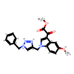 COC(=O)C(=O)c1cn(Cc2cn(Cc3ccccc3)nn2)c2ccc(OC)cc12